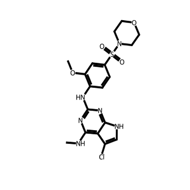 CNc1nc(Nc2ccc(S(=O)(=O)N3CCOCC3)cc2OC)nc2[nH]cc(Cl)c12